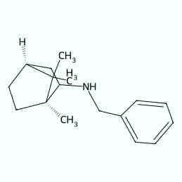 CC1(C)[C@H]2CC[C@]1(C)C(NCc1ccccc1)C2